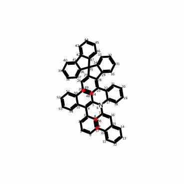 c1ccc(-c2c(N(c3ccc4ccccc4c3)c3ccccc3-c3cccc4c3-c3ccccc3C43c4ccccc4-c4ccccc43)ccc3ccccc23)cc1